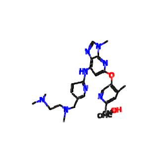 Cc1cc(C#N)ncc1Oc1cc(Nc2ccc(CN(C)CCN(C)C)cn2)c2ncn(C)c2n1.O=CO